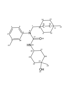 Cc1cccc(N(CC23CCC(C)(CC2)CC3)C(=O)NC2CCC(C)(O)CC2)c1